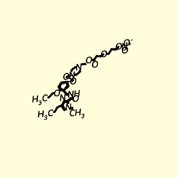 CCCOc1ccc(S(=O)(=O)N2CCN(CCOC(=O)CCOCCCO[N+](=O)[O-])CC2)cc1-c1nc2c(CCC)cn(CC)c2c(=O)[nH]1